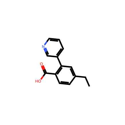 CCc1ccc(C(=O)O)c(-c2cccnc2)c1